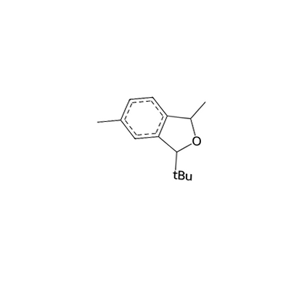 Cc1ccc2c(c1)C(C(C)(C)C)OC2C